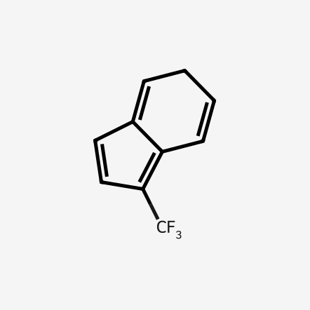 FC(F)(F)C1=C2C=CCC=C2C=C1